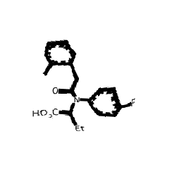 CCC(C(=O)O)N(C(=O)Cc1ccccc1C)c1ccc(F)cc1